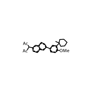 COc1ccc(-c2ccc3cc(C(C(C)=O)C(C)=O)ccc3c2)cc1C1(C)CCCCC1